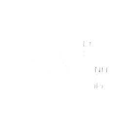 CC=CC(C)(C)C(CC)NC(C)C